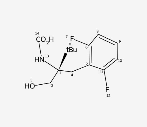 CC(C)(C)[C@](CO)(Cc1c(F)cccc1F)NC(=O)O